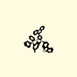 Cc1cc(N(c2ccccc2)c2ccccc2)c(Cl)c(N(c2ccc(-c3cc4ccccc4c4ccccc34)cc2)c2ccc3c(c2)oc2ccccc23)c1